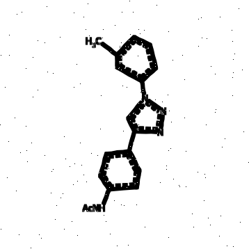 CC(=O)Nc1ccc(-c2cn(-c3cccc(C)c3)nn2)cc1